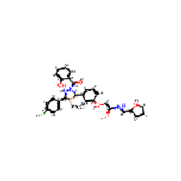 COc1c(OCC(=O)NCC2CCCO2)cccc1C1SC(c2ccc(F)cc2)=NN1C(=O)c1ccccc1O